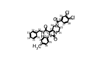 Cc1ccc(-n2c(C(=O)NCc3ccccc3)c3n(c2=O)CCN(C(=O)c2ccc(Cl)c(Cl)c2)C3)cc1